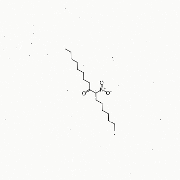 CCCCCCCCC(=O)C(CCCCCCC)[N+](=O)[O-]